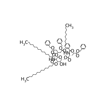 CCCCCCCCCCCCCC(=O)N[C@H]1[C@@H](OC(CC(=O)OCc2ccccc2)CC(=O)OCc2ccccc2)O[C@H](COC(=O)[C@@H](CCC(=O)OCc2ccccc2)NC(=O)c2ccc(CCCCCCCC)cc2)[C@@H](O)[C@@H]1OC(=O)CCCCCCCCCCCCC